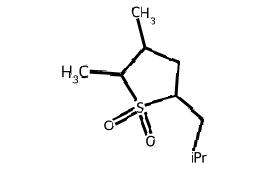 CC(C)CC1CC(C)C(C)S1(=O)=O